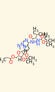 CCC(=O)OC[C@H]1O[C@@](C#N)(c2ccc3c(NC(=O)[C@@H](NC(=O)OC(C)(C)C)C(C)C)ncnn23)[C@@H]2OC(C)(C)O[C@@H]21